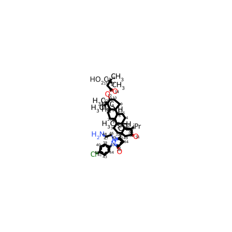 CC(C)C1=C2[C@H]3CC[C@@H]4[C@@]5(C)CC[C@H](OC(=O)CC(C)(C)C(=O)O)C(C)(C)[C@@H]5CC[C@@]4(C)[C@]3(C)CC[C@@]2(c2cc(=O)n(-c3ccc(Cl)cc3)n2CCN)CC1=O